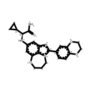 NC(=O)[C@@H](Nc1cc2c3c(c1)nc(-c1ccc4c(c1)OCCO4)n3CCCO2)C1CC1